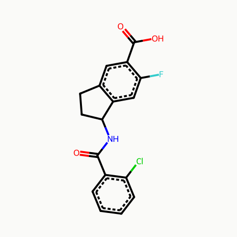 O=C(O)c1cc2c(cc1F)C(NC(=O)c1ccccc1Cl)CC2